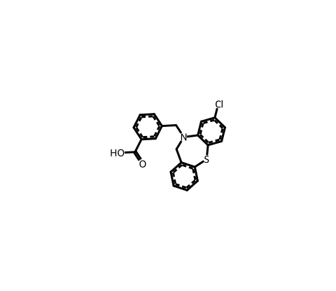 O=C(O)c1cccc(CN2Cc3ccccc3Sc3ccc(Cl)cc32)c1